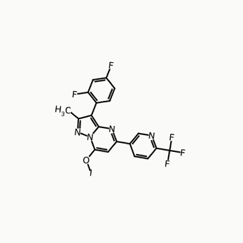 Cc1nn2c(OI)cc(-c3ccc(C(F)(F)F)nc3)nc2c1-c1ccc(F)cc1F